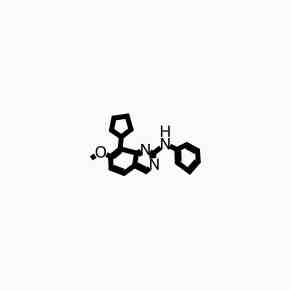 COc1ccc2cnc(Nc3ccccc3)nc2c1C1CCCC1